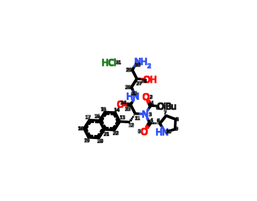 CC(C)COC(=O)N(C(=O)[C@@H]1CCCN1)[C@H](Cc1ccc2ccccc2c1)C(=O)NCC(O)CN.Cl